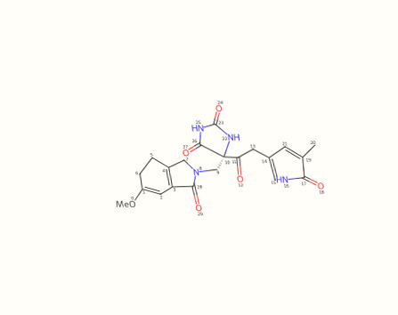 COC1=CC2=C(CC1)CN(C[C@@]1(C(=O)Cc3c[nH]c(=O)c(C)c3)NC(=O)NC1=O)C2=O